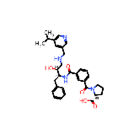 CC(C)c1cncc(CNC[C@H](O)[C@H](Cc2ccccc2)NC(=O)c2cccc(C(=O)N3CCC[C@@H]3C(=O)O)c2)c1